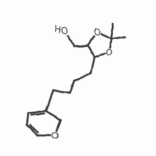 CC1(C)OC(CO)C(CCCCC2=CC=COC2)O1